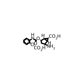 N[C@@]1(C(=O)O)C[C@H](OC(=O)Nc2ccccc2Cl)[C@H]2[C@H](C(=O)O)[C@H]21